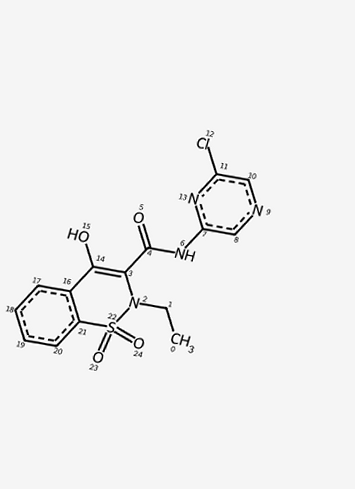 CCN1C(C(=O)Nc2cncc(Cl)n2)=C(O)c2ccccc2S1(=O)=O